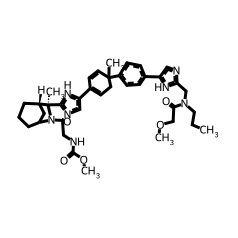 CCCN(Cc1ncc(-c2ccc(C3(C)C=CC(c4cnc([C@]5(C)[C@H]6CCCC(C6)N5C(=O)CNC(=O)OC)[nH]4)=CC3)cc2)[nH]1)C(=O)COC